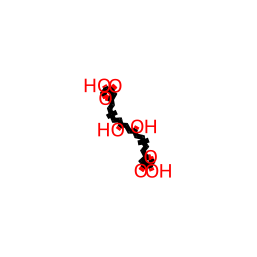 CC(C)(CCc1cc(=O)c(O)co1)CCC(O)CCC(O)CCC(C)(C)CCc1cc(=O)c(O)co1